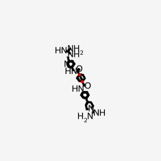 N=C(N)NCc1ccc(NC(=O)C23CCC(C(=O)Nc4ccc(C5=CCN(C(=N)N)CC5)cc4)(CC2)CC3)cn1